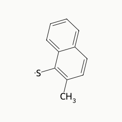 Cc1ccc2ccccc2c1[S]